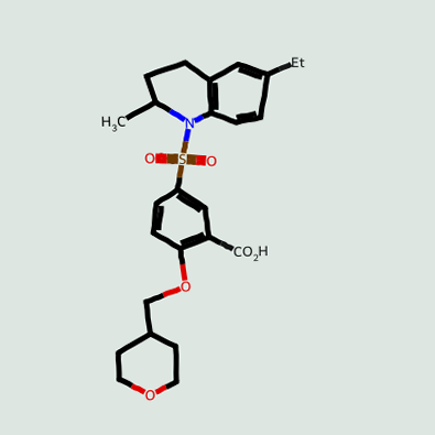 CCc1ccc2c(c1)CCC(C)N2S(=O)(=O)c1ccc(OCC2CCOCC2)c(C(=O)O)c1